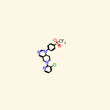 O=S(=O)(c1ccc(N2C=NC=C3CN(c4ncccc4Cl)CCC32)cc1)C(F)(F)F